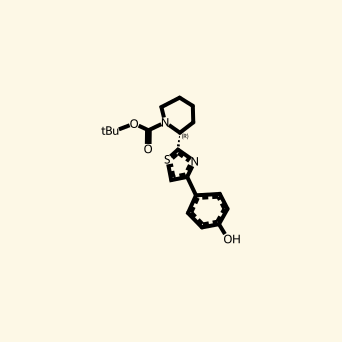 CC(C)(C)OC(=O)N1CCCC[C@@H]1c1nc(-c2ccc(O)cc2)cs1